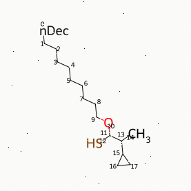 CCCCCCCCCCCCCCCCCCCOC(S)C(C)C1CC1